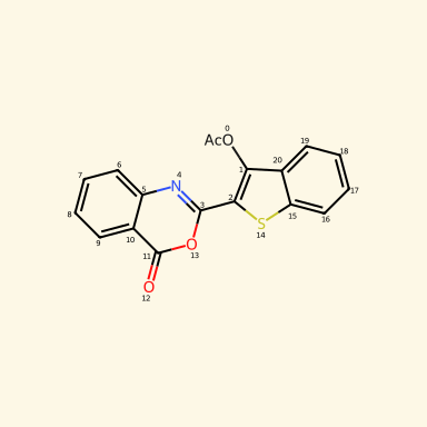 CC(=O)Oc1c(-c2nc3ccccc3c(=O)o2)sc2ccccc12